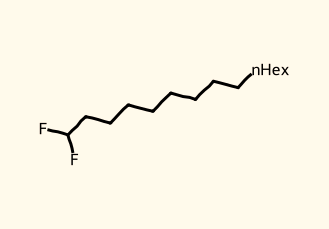 [CH2]CCCCCCCCCCCCCC(F)F